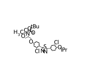 CC(C)Oc1ccc(-c2nnc(-c3ccc(OCC4COC(C)(C)N4C(=O)OC(C)(C)C)cc3Cl)s2)cc1Cl